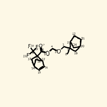 CC1(COCOC(=O)C2(C(F)(F)F)CC3C=CC2C3)CC2CCC1C2